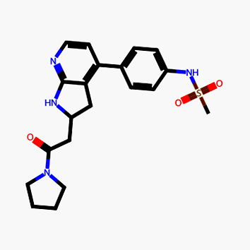 CS(=O)(=O)Nc1ccc(-c2ccnc3c2CC(CC(=O)N2CCCC2)N3)cc1